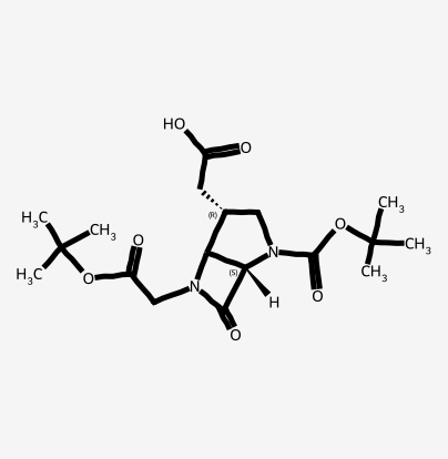 CC(C)(C)OC(=O)CN1C(=O)[C@@H]2C1[C@H](CC(=O)O)CN2C(=O)OC(C)(C)C